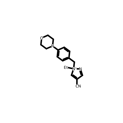 CC[N+]1(Cc2ccc(N3CCOCC3)cc2)C=C(C#N)C=N1